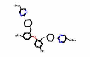 CCCCCCc1cnc([C@H]2CC[C@H](Cc3cc(CCC)ccc3Oc3ccc(CCC)cc3C[C@H]3CC[C@H](c4ncc(CCCCCC)cn4)CC3)CC2)nc1